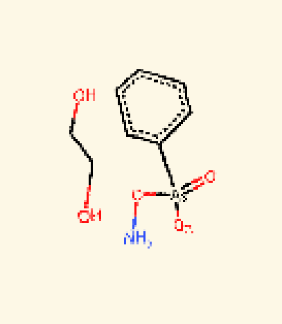 NO[As](=O)(O)c1ccccc1.OCCO